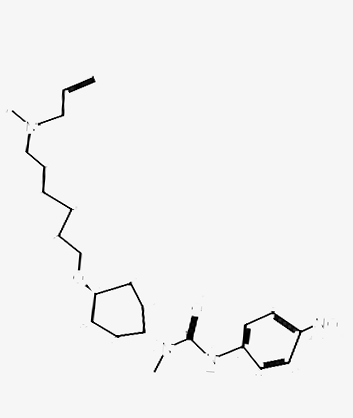 C=CCN(C)CCCCCCO[C@H]1CC[C@H](N(C)C(=O)Nc2ccc([N+](=O)[O-])cc2)CC1